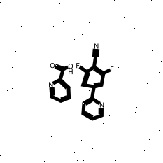 N#Cc1c(F)cc(-c2ccccn2)cc1F.O=C(O)c1ccccn1